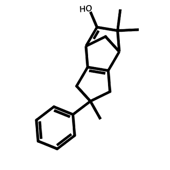 CC1(c2ccccc2)CC2=C(C1)C1CC2=C(O)C1(C)C